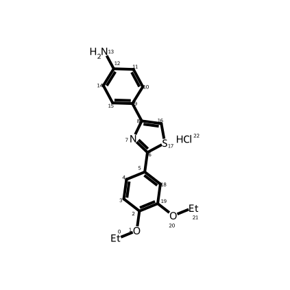 CCOc1ccc(-c2nc(-c3ccc(N)cc3)cs2)cc1OCC.Cl